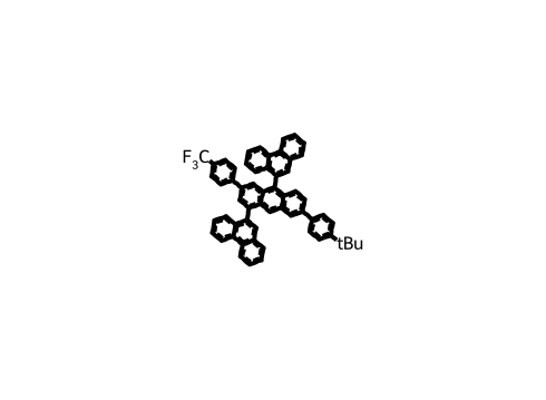 CC(C)(C)c1ccc(-c2ccc3c(-c4cc5ccccc5c5ccccc45)c4cc(-c5ccc(C(F)(F)F)cc5)cc(-c5cc6ccccc6c6ccccc56)c4cc3c2)cc1